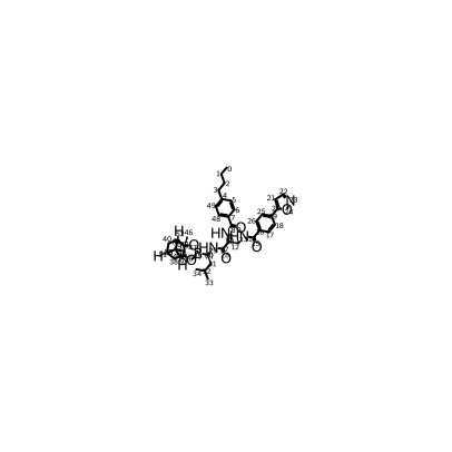 CCCCc1ccc(C(=O)N[C@@H](CNC(=O)c2ccc(-c3ccno3)cc2)C(=O)N[C@@H](CC(C)C)B2O[C@@H]3C[C@@H]4C[C@@H](C4(C)C)[C@]3(C)O2)cc1